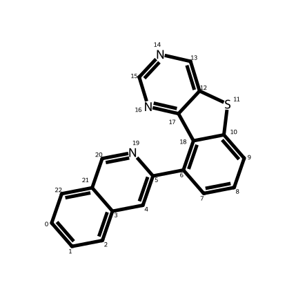 c1ccc2cc(-c3cccc4sc5cncnc5c34)ncc2c1